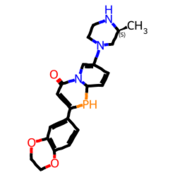 C[C@H]1CN(C2=CN3C(=O)C=C(c4ccc5c(c4)OCCO5)PC3C=C2)CCN1